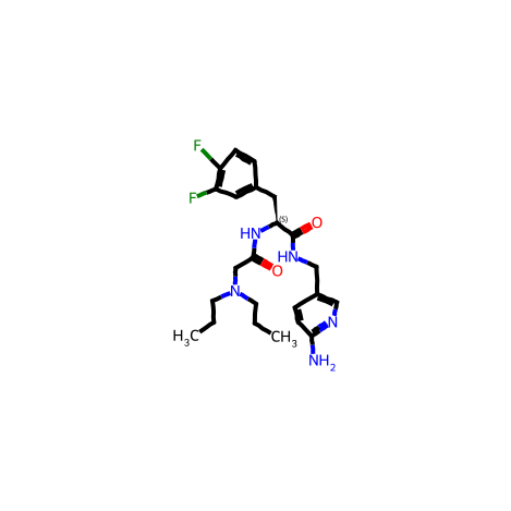 CCCN(CCC)CC(=O)N[C@@H](Cc1ccc(F)c(F)c1)C(=O)NCc1ccc(N)nc1